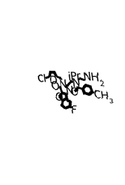 Cc1ccc(C(=O)N(CCN)[C@@H](c2nc3c(oc4ccc(F)cc43)c(=O)n2Cc2ccc(Cl)o2)C(C)C)cc1